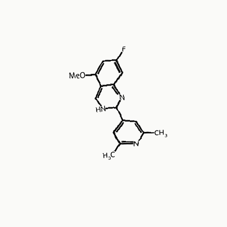 COc1cc(F)cc2c1=CNC(c1cc(C)nc(C)c1)N=2